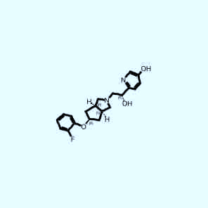 Oc1ccc([C@H](O)CN2C[C@H]3C[C@@H](Oc4ccccc4F)C[C@H]3C2)nc1